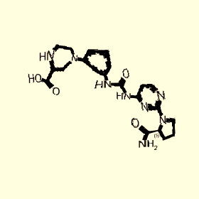 NC(=O)[C@@H]1CCCN1c1nccc(NC(=O)Nc2cccc(N3CCNC(C(=O)O)C3)c2)n1